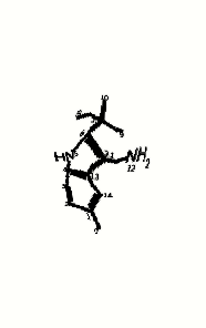 Cc1ccc2[nH]c(C(C)(C)C)c(N)c2c1